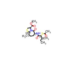 CC[C@H](C)[C@H](SC(C)=O)C(=O)N[C@H]1CC[C@H](C)[C@H]2SC[C@@H](C(=O)OC)N2C1=O